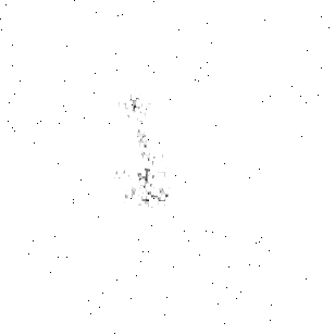 CCc1cc(Nc2ncc(Br)c(Nc3ccc4nc(C5CC5)ccc4c3P(C)(C)=O)n2)c(OC)cc1N1CCC(N2CCN(CCc3cc(F)c([C@H]4CCC(=O)NC4=O)c(F)c3)CC2)CC1